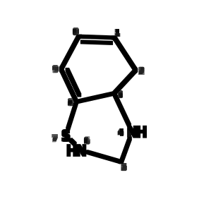 C1=CCC2NCNSC2=C1